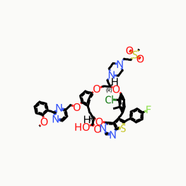 COc1ccccc1-c1nccc(COc2ccc3cc2C[C@H](C(=O)O)Oc2ncnc4sc(-c5ccc(F)cc5)c(c24)-c2ccc(c(Cl)c2C)O[C@H](CN2CCN(CCS(C)(=O)=O)CC2)CO3)n1